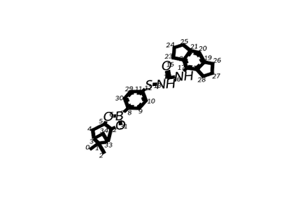 CC1(C)C2CC3OB(c4ccc(SNC(=O)Nc5c6c(cc7c5CCC7)CCC6)cc4)OC3C1C2